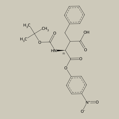 CC(C)(C)OC(=O)N[C@H](C(=O)Oc1ccc([N+](=O)[O-])cc1)C(Cc1ccccc1)C(=O)O